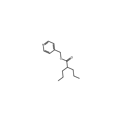 CCCC(CCC)C(=O)OCc1ccncc1